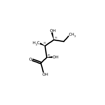 CC[C@H](O)[C@H](C)[C@@H](O)C(=O)O